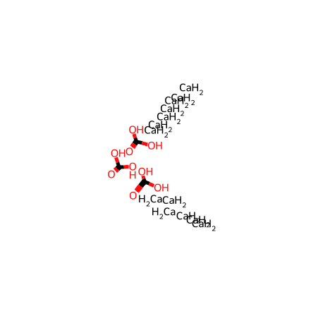 O=C(O)O.O=C(O)O.O=C(O)O.[CaH2].[CaH2].[CaH2].[CaH2].[CaH2].[CaH2].[CaH2].[CaH2].[CaH2].[CaH2].[CaH2].[CaH2].[CaH2]